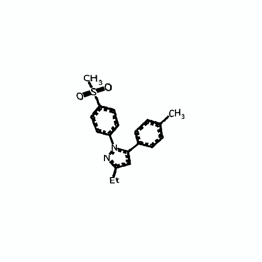 CCc1cc(-c2ccc(C)cc2)n(-c2ccc(S(C)(=O)=O)cc2)n1